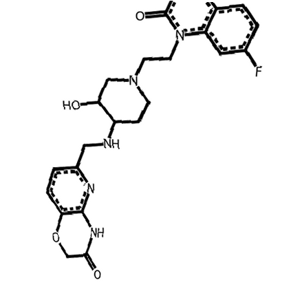 O=C1COc2ccc(CNC3CCN(CCn4c(=O)cnc5ccc(F)cc54)CC3O)nc2N1